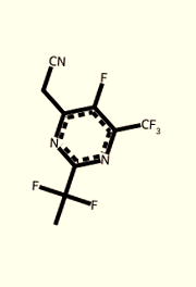 CC(F)(F)c1nc(CC#N)c(F)c(C(F)(F)F)n1